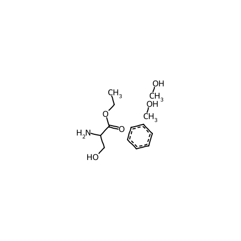 CCOC(=O)C(N)CO.CO.CO.c1ccccc1